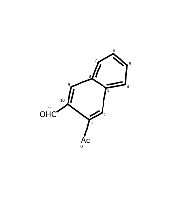 CC(=O)c1cc2ccccc2cc1C=O